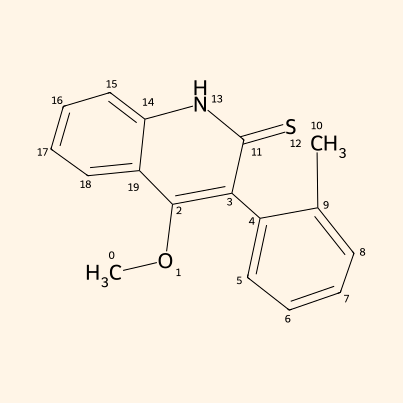 COc1c(-c2ccccc2C)c(=S)[nH]c2ccccc12